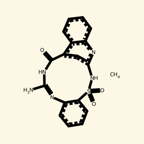 C.NC1=Nc2ccccc2S(=O)(=O)Nc2cc(c3ccccc3n2)C(=O)N1